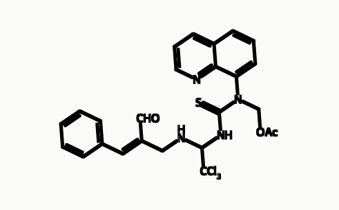 CC(=O)OCN(C(=S)NC(NC/C(C=O)=C/c1ccccc1)C(Cl)(Cl)Cl)c1cccc2cccnc12